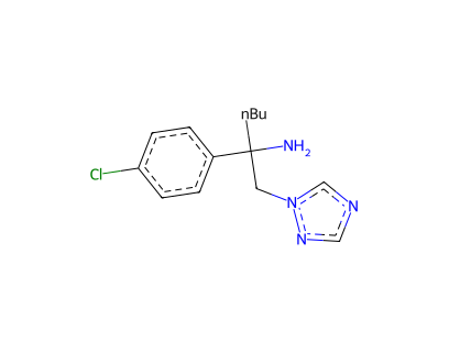 CCCCC(N)(Cn1cncn1)c1ccc(Cl)cc1